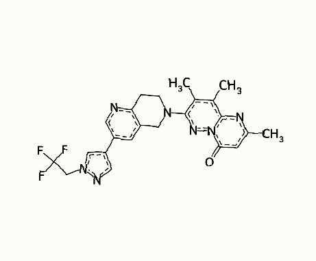 Cc1cc(=O)n2nc(N3CCc4ncc(-c5cnn(CC(F)(F)F)c5)cc4C3)c(C)c(C)c2n1